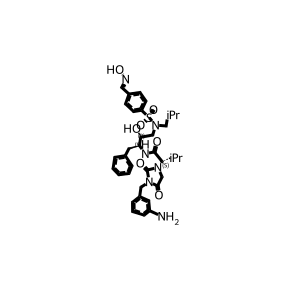 CC(C)CN(C[C@@H](O)[C@H](Cc1ccccc1)NC(=O)[C@H](C(C)C)N1CC(=O)N(Cc2cccc(N)c2)C1=O)S(=O)(=O)c1ccc(C=NO)cc1